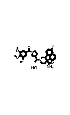 COc1cc(C(=O)N2CCC(C(C)N3CCC(C(N)=O)(c4ccccc4)C(c4ccc(F)cc4)C3)C2)cc(OC)c1OC.Cl